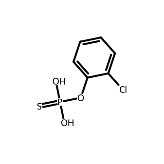 OP(O)(=S)Oc1ccccc1Cl